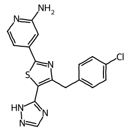 Nc1cc(-c2nc(Cc3ccc(Cl)cc3)c(-c3ncn[nH]3)s2)ccn1